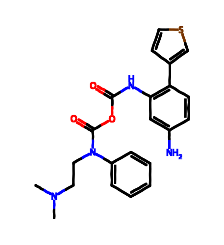 CN(C)CCN(C(=O)OC(=O)Nc1cc(N)ccc1-c1ccsc1)c1ccccc1